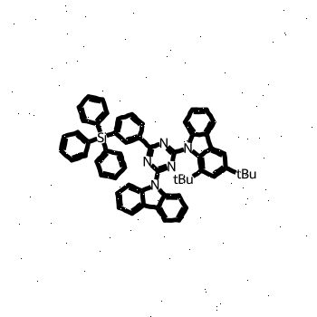 CC(C)(C)c1cc(C(C)(C)C)c2c(c1)c1ccccc1n2-c1nc(-c2cccc([Si](c3ccccc3)(c3ccccc3)c3ccccc3)c2)nc(-n2c3ccccc3c3ccccc32)n1